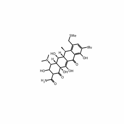 CSCc1cc(C(C)(C)C)c(O)c2c1[C@H](C)[C@@H]1C(=C(O)[C@]3(O)C(=O)C(C(N)=O)C(O)[C@@H](N(C)C)[C@@H]3[C@H]1O)C2=O